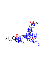 CN(C)C(=O)NC1CCCN(c2cnc(C(N)=O)c(Nc3cnn(C4CCN(C(=O)C5CC5)CC4)c3)n2)C1